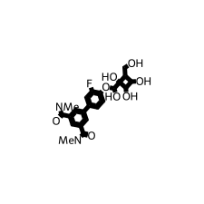 CNC(=O)c1cc(C(=O)NC)cc(-c2ccc(OC(O)C3(O)C(O)C(O)C3CO)c(F)c2)c1